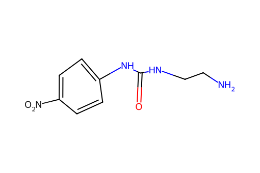 NCCNC(=O)Nc1ccc([N+](=O)[O-])cc1